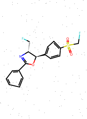 O=S(=O)(CF)c1ccc([C@H]2OC(c3ccccc3)=N[C@@H]2CF)cc1